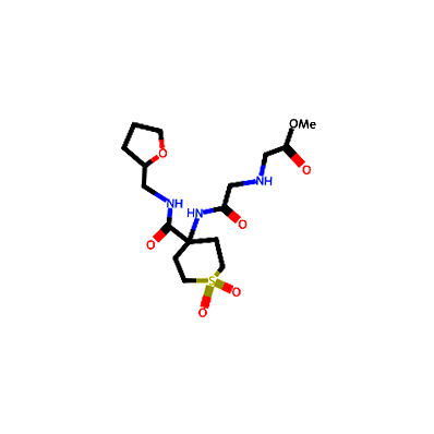 COC(=O)CNCC(=O)NC1(C(=O)NCC2CCCO2)CCS(=O)(=O)CC1